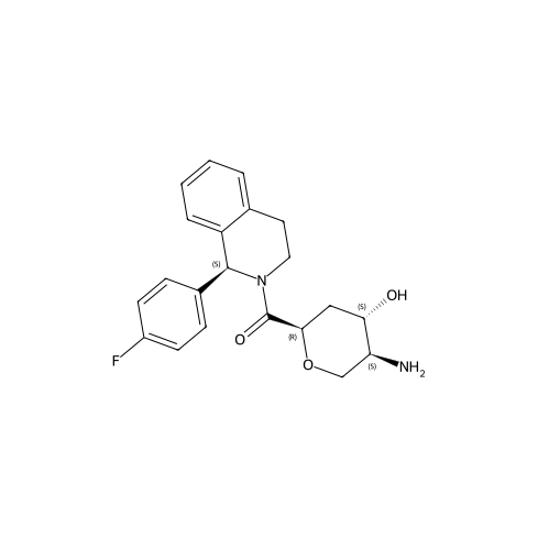 N[C@H]1CO[C@@H](C(=O)N2CCc3ccccc3[C@@H]2c2ccc(F)cc2)C[C@@H]1O